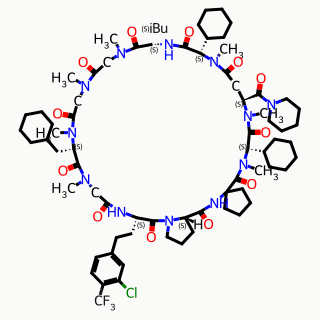 CC[C@H](C)[C@@H]1NC(=O)[C@H](C2CCCCC2)N(C)C(=O)C[C@@H](C(=O)N2CCCCC2)N(C)C(=O)[C@H](C2CCCCC2)N(C)C(=O)C2(CCCC2)NC(=O)[C@@H]2CCCN2C(=O)[C@H](CCc2ccc(C(F)(F)F)c(Cl)c2)NC(=O)CN(C)C(=O)[C@H](CC2CCCCC2)N(C)C(=O)CN(C)C(=O)CN(C)C1=O